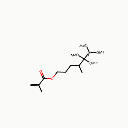 C=C(C)C(=O)OCCCC(C)C(OC)(OC)[SiH](OC)OC